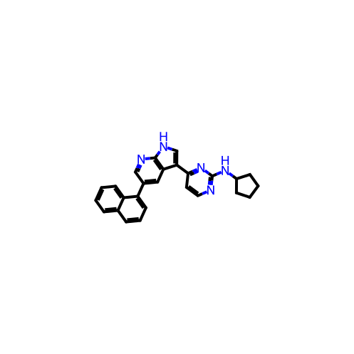 c1ccc2c(-c3cnc4[nH]cc(-c5ccnc(NC6CCCC6)n5)c4c3)cccc2c1